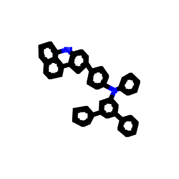 c1ccc(-c2cc(-c3ccccc3)cc(N(c3ccccc3)c3ccc(-c4ccc5c(c4)-c4cccc6cccc(c46)N5)cc3)c2)cc1